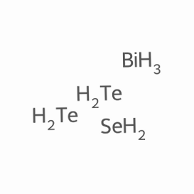 [BiH3].[SeH2].[TeH2].[TeH2]